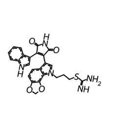 N=C(N)SCCCn1cc(C2=C(c3c[nH]c4ccccc34)C(=O)NC2=O)c2ccc3c(c21)OCO3